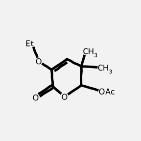 CCOC1=CC(C)(C)C(OC(C)=O)OC1=O